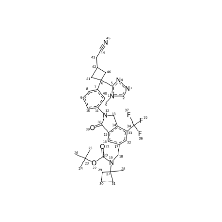 Cn1cnnc1C1(c2cccc(N3Cc4c(cc(CN(C(=O)OC(C)(C)C)C5(C)CCC5)cc4C(F)(F)F)C3=O)c2)CC(CC#N)C1